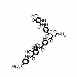 CCCOc1c(NC(=O)c2ccc(NC(=O)[C@H](CC(N)=O)NC(=O)c3ccc(NC(=O)c4cc(=O)c(O)c[nH]4)cc3)cc2)ccc(C(=O)Nc2ccc(C(=O)O)cc2)c1O